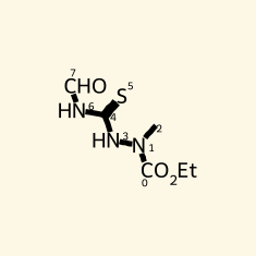 CCOC(=O)N(C)NC(=S)NC=O